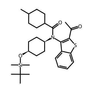 CC(=O)c1sc2ccccc2c1N(C(=O)C1CCC(C)CC1)[C@H]1CC[C@@H](O[Si](C)(C)C(C)(C)C)CC1